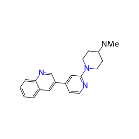 CNC1CCN(c2cc(-c3cnc4ccccc4c3)ccn2)CC1